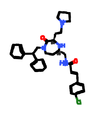 O=C(C=Cc1ccc(Cl)cc1)NC[C@@H]1CCN(CC(c2ccccc2)c2ccccc2)C(=O)[C@H](CCN2CCCC2)N1